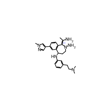 C/C(N)=C1\c2ccc(-c3cnn(C)c3)cc2C(Nc2cccc(CCN(C)C)c2)CCN1N